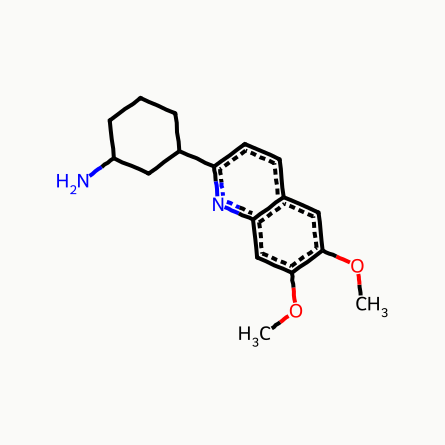 COc1cc2ccc(C3CCCC(N)C3)nc2cc1OC